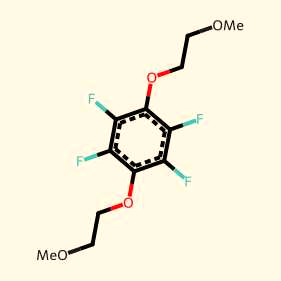 COCCOc1c(F)c(F)c(OCCOC)c(F)c1F